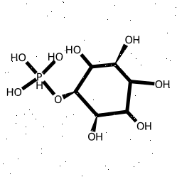 OC1C(O)[C@@H](O)[C@@H](O[PH](O)(O)O)C(O)[C@H]1O